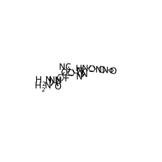 N#Cc1cc(-c2ncnc(Nc3ccc(N4CCN(C5COC5)CC4)cc3)n2)ccc1OC1CCN(C(=O)/C(=C/N)NN)CC1F